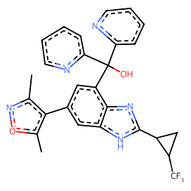 Cc1noc(C)c1-c1cc(C(O)(c2ccccn2)c2ccccn2)c2nc(C3CC3C(F)(F)F)[nH]c2c1